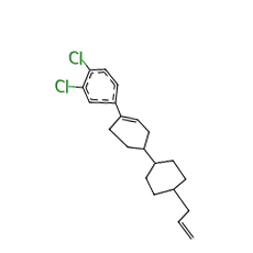 C=CCC1CCC(C2CC=C(c3ccc(Cl)c(Cl)c3)CC2)CC1